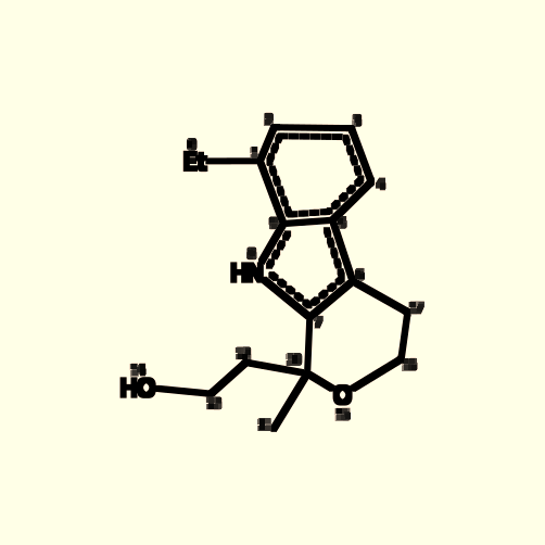 CCc1cccc2c3c([nH]c12)C(C)(CCO)OCC3